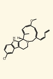 C=C/C=C\C1=C=C/C(OC)=C\C=C(/C)[C@H]2c3[nH]c4ccc(Cl)cc4c3CCN2C1